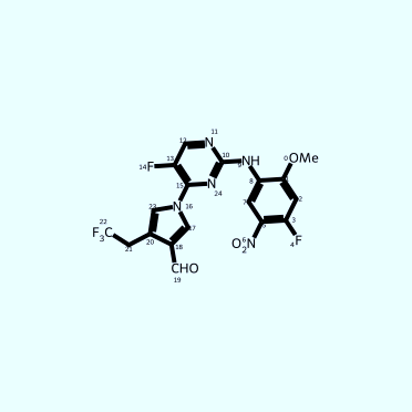 COc1cc(F)c([N+](=O)[O-])cc1Nc1ncc(F)c(-n2cc(C=O)c(CC(F)(F)F)c2)n1